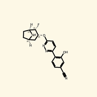 N#Cc1ccc(-c2ccc(O[C@@H]3C[C@H]4CC[C@H](N4)[C@@H]3F)nn2)c(O)c1